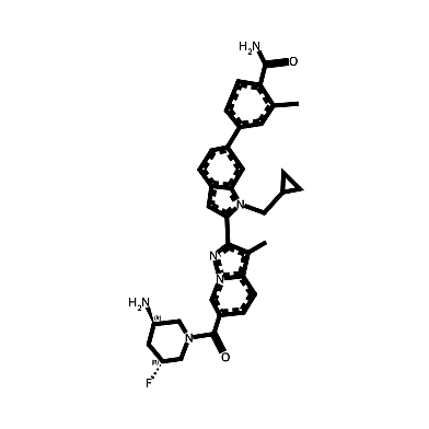 Cc1cc(-c2ccc3cc(-c4nn5cc(C(=O)N6C[C@H](N)C[C@@H](F)C6)ccc5c4C)n(CC4CC4)c3c2)ccc1C(N)=O